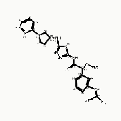 CCO[C@H](C(=O)Nc1nnc(N[C@@H]2CCN(c3cccnn3)C2)s1)c1cccc(OC(F)F)c1